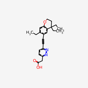 CCc1cc2c(cc1C#Cc1ccc(CC(=O)O)nn1)C(CC)(CC)CCO2